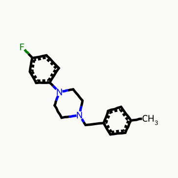 Cc1ccc(CN2CCN(c3ccc(F)cc3)CC2)cc1